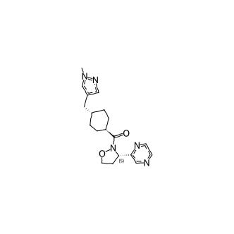 Cn1cc(C[C@H]2CC[C@H](C(=O)N3OCC[C@H]3c3cnccn3)CC2)cn1